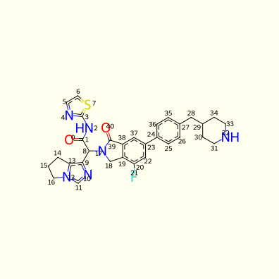 O=C(Nc1nccs1)C(c1ncn2c1CCC2)N1Cc2c(F)cc(-c3ccc(CC4CCNCC4)cc3)cc2C1=O